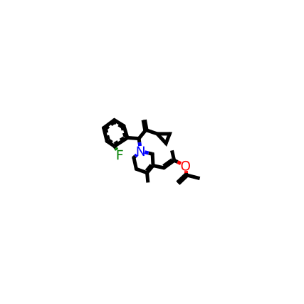 C=C(C)O/C(C)=C/C1=C(C)CCN(C(C(=C)C2CC2)c2ccccc2F)C1